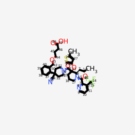 CCC[C@H]1N(C(=O)c2ncccc2C(F)(F)F)CCC[C@@]1(Oc1csc(C)c1)C(=O)N1CCC(C#N)(c2ccccc2COCCCC(=O)O)CC1